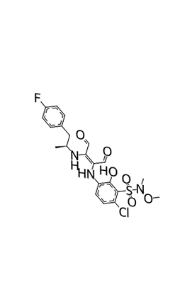 CON(C)S(=O)(=O)c1c(Cl)ccc(N/C(C=O)=C(/C=O)N[C@@H](C)Cc2ccc(F)cc2)c1O